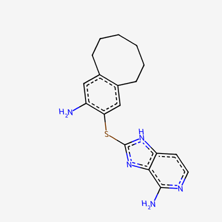 Nc1cc2c(cc1Sc1nc3c(N)nccc3[nH]1)CCCCCC2